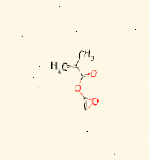 C=C(C)C(=O)OC1=CO1